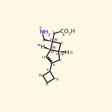 NC[C@@]1(CC(=O)O)C[C@@H]2CC(C3CCC3)=C[C@@H]21